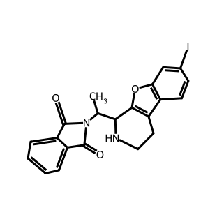 CC(C1NCCc2c1oc1cc(I)ccc21)N1C(=O)c2ccccc2C1=O